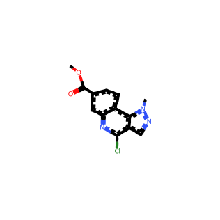 COC(=O)c1ccc2c(c1)nc(Cl)c1cnn(C)c12